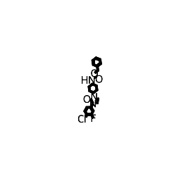 O=C(N[C@H]1CC[C@H](N2CCN(c3ccc(Cl)c(F)c3)C2=O)CC1)OCc1ccccc1